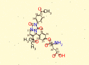 CC(=O)c1ccc(-n2c(=O)n3n(c2=O)C2C(=CC3)C(C)(C)Oc3cc(OC(=O)[C@@H](N)CCC(=O)O)ccc32)cc1